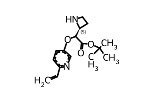 C=Cc1ccc(OC(C(=O)OC(C)(C)C)[C@@H]2CCN2)cn1